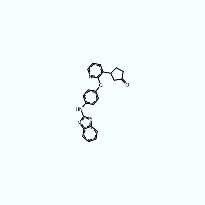 O=C1CCC(c2cccnc2Oc2ccc(Nc3nc4ccccc4s3)cc2)C1